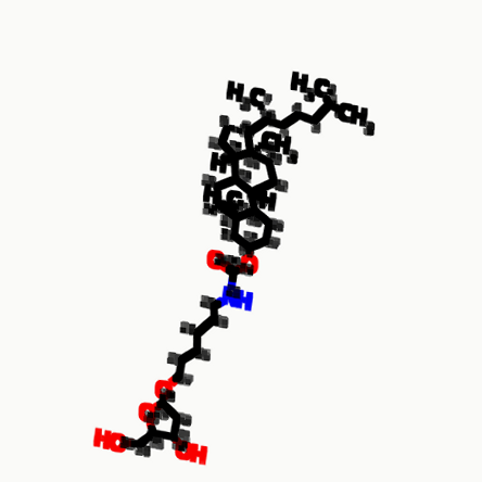 CC(C)CCC[C@@H](C)[C@H]1CC[C@H]2C3CC=C4C[C@@H](OC(=O)NCCCCCCOC5CC(O)[C@@H](CO)O5)CC[C@]4(C)[C@H]3CC[C@]12C